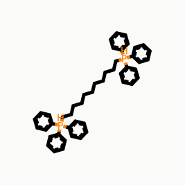 c1ccc([PH](CCCCCCCCCCC[PH](c2ccccc2)(c2ccccc2)c2ccccc2)(c2ccccc2)c2ccccc2)cc1